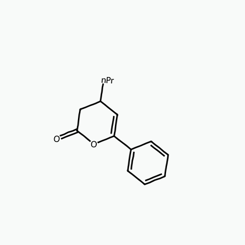 CCCC1C=C(c2ccccc2)OC(=O)C1